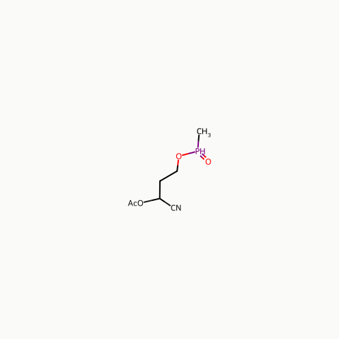 CC(=O)OC(C#N)CCO[PH](C)=O